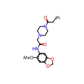 COc1cc2c(cc1NC(=O)CN1CCN(C(=O)CC(C)C)CC1)OCO2